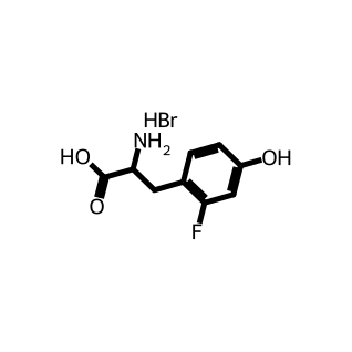 Br.NC(Cc1ccc(O)cc1F)C(=O)O